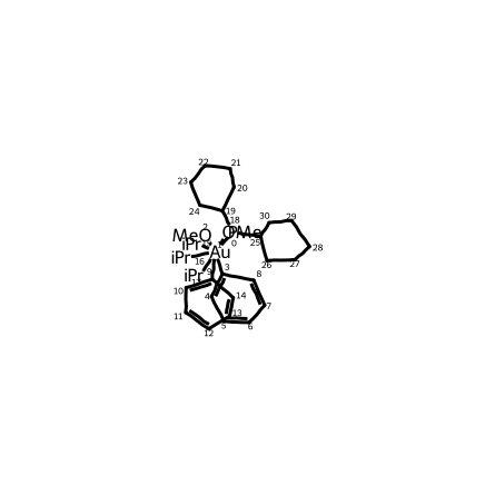 C[O][Au]([O]C)([c]1ccccc1)([c]1ccccc1)([CH](C)C)([CH](C)C)([CH](C)C)[P](C1CCCCC1)C1CCCCC1